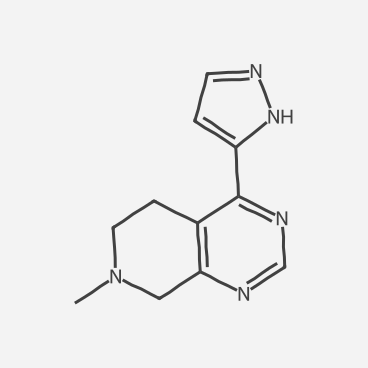 CN1CCc2c(ncnc2-c2ccn[nH]2)C1